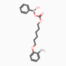 O=C(OCCCCCCOc1ccccc1[N+](=O)[O-])OB(O)c1ccccc1